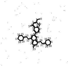 CCc1cc(C)c2cc(-c3cc(CCC4CCCCC4)c4cc(C)cc(CCC5CCCCC5)c4c3)ccc2n1